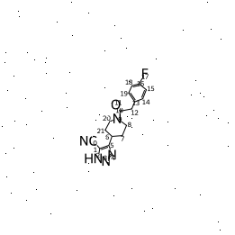 N#Cc1[nH]nnc1C1CCN(C(=O)Cc2ccc(F)cc2)CC1